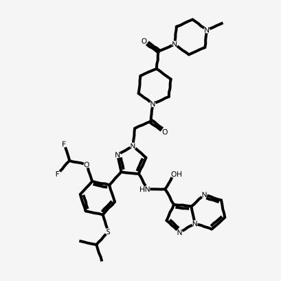 CC(C)Sc1ccc(OC(F)F)c(-c2nn(CC(=O)N3CCC(C(=O)N4CCN(C)CC4)CC3)cc2NC(O)c2cnn3cccnc23)c1